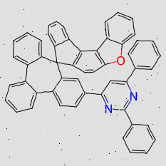 c1ccc(-c2cc(-c3ccc4c(c3)C3(c5ccccc5-c5ccccc5-4)c4ccccc4-c4c3ccc3oc5ccccc5c43)nc(-c3ccccc3)n2)cc1